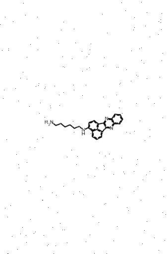 NCCCCCCNc1ccc2c3c(cccc13)-c1nc3ccccc3nc1-2